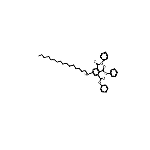 CCCCCCCCCCCCCCCCNc1cc(C(=O)Oc2ccccc2)c(C(=O)Oc2ccccc2)c(C(=O)Oc2ccccc2)c1